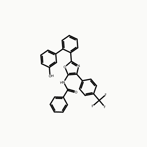 O=C(Nc1oc(-c2ccccc2-c2cccc(O)c2)nc1-c1ccc(C(F)(F)F)cc1)c1ccccc1